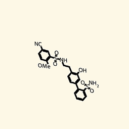 COc1ccc(C#N)cc1S(=O)(=O)NCCc1ccc(-c2ccccc2S(N)(=O)=O)cc1O